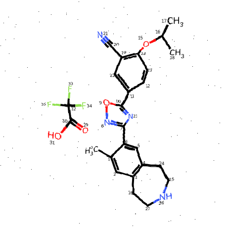 Cc1cc2c(cc1-c1noc(-c3ccc(OC(C)C)c(C#N)c3)n1)CCNCC2.O=C(O)C(F)(F)F